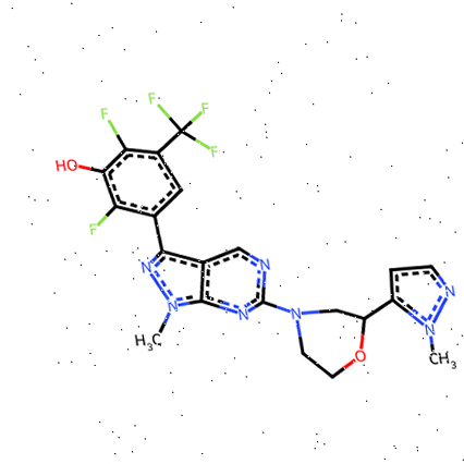 Cn1nccc1C1CN(c2ncc3c(-c4cc(C(F)(F)F)c(F)c(O)c4F)nn(C)c3n2)CCO1